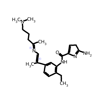 CCc1ccc(/C(C)=C/N=C(\C)CCCN(C)C)cc1NC(=O)C1=CCC(N)=N1